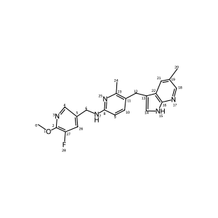 COc1ncc(CNc2ccc(Cc3c[nH]c4ncc(C)cc34)c(C)n2)cc1F